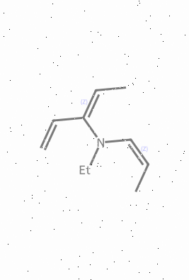 C=C/C(=C/C)N(/C=C\C)CC